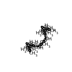 Cc1cc(C)c(Nc2ccc(Nc3c(C)cc(OCC(O)COc4ccc(C(C)(C)c5ccc(OCC(O)COc6cc(C)c(Nc7ccc(Nc8c(C)cc(C)cc8C)c8c7C(=O)c7ccccc7C8=O)c(C)c6)cc5)cc4)cc3C)c3c2C(=O)c2ccccc2C3=O)c(C)c1